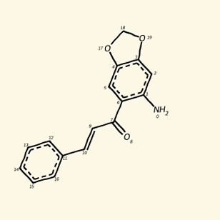 Nc1cc2c(cc1C(=O)C=Cc1ccccc1)OCO2